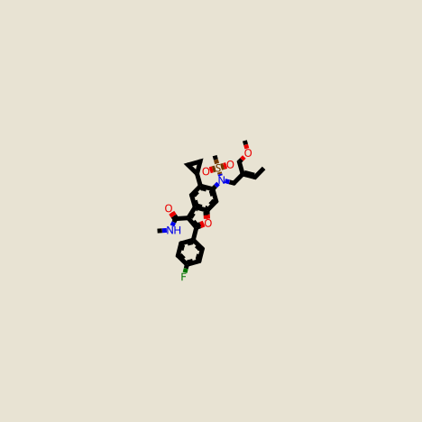 C/C=C(\COC)CN(c1cc2oc(-c3ccc(F)cc3)c(C(=O)NC)c2cc1C1CC1)S(C)(=O)=O